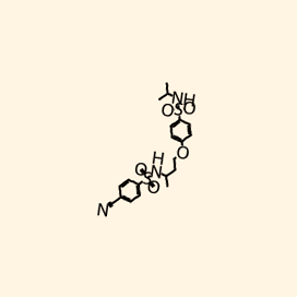 CC(C)NS(=O)(=O)c1ccc(OCCC(C)NS(=O)(=O)c2ccc(C#N)cc2)cc1